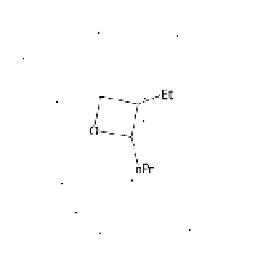 CC[CH]C1OCC1CC